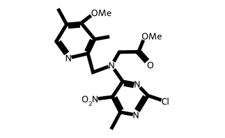 COC(=O)CN(Cc1ncc(C)c(OC)c1C)c1nc(Cl)nc(C)c1[N+](=O)[O-]